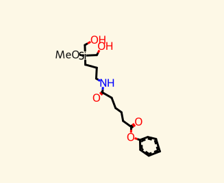 CO[Si](CO)(CO)CCCNC(=O)CCCCC(=O)Oc1ccccc1